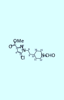 COC(=O)c1cc(Cl)n(CCC2CCN(C=O)CC2)n1